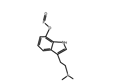 CN(C)CCc1c[nH]c2c(OP=O)cccc12